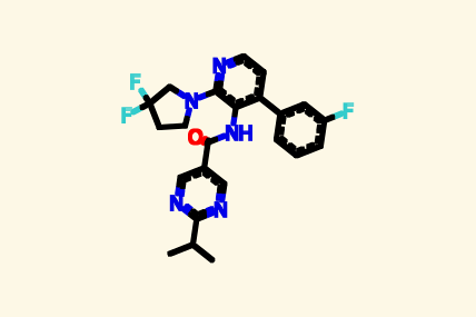 CC(C)c1ncc(C(=O)Nc2c(-c3cccc(F)c3)ccnc2N2CCC(F)(F)C2)cn1